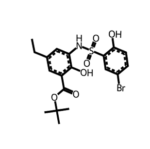 CCc1cc(NS(=O)(=O)c2cc(Br)ccc2O)c(O)c(C(=O)OC(C)(C)C)c1